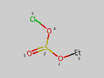 CCOS(=O)OCl